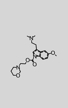 COc1ccc2c(c1)c(CCN(C)C)cn2C(=O)OCCN1CCCOC1